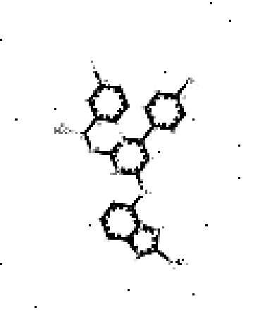 CC(=O)Nc1nc2c(Oc3cc(-c4ccc(C(F)(F)F)cc4)nc(N[C@H](C)c4cccc(F)c4)n3)cccc2s1